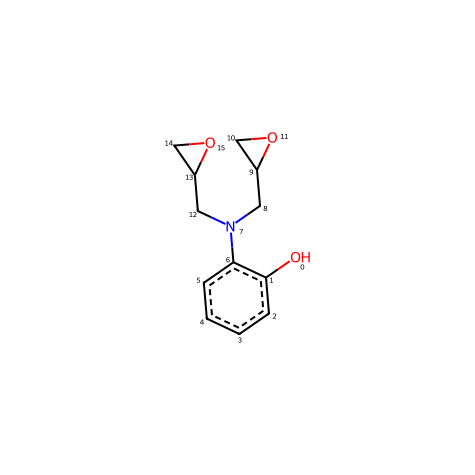 Oc1ccccc1N(CC1CO1)CC1CO1